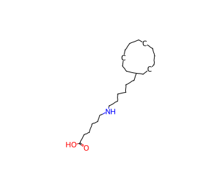 O=C(O)CCCCCNCCCCCCC1CCCCCCCCCCCC1